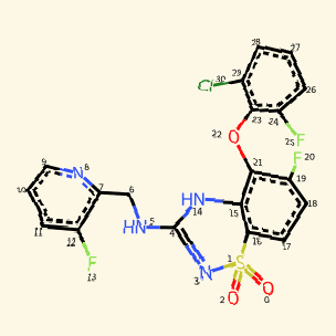 O=S1(=O)N=C(NCc2ncccc2F)Nc2c1ccc(F)c2Oc1c(F)cccc1Cl